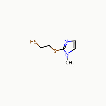 Cn1ccnc1SCCS